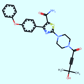 CC(C)(O)C#CC(=O)N1CCN(c2nc(-c3ccc(Oc4ccccc4)cc3)c(C(N)=O)s2)CC1